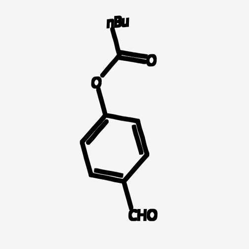 CCCCC(=O)Oc1ccc(C=O)cc1